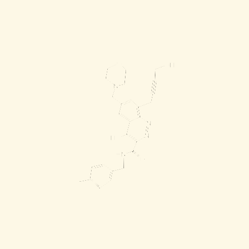 O=C(NCc1ccc(Cl)cc1)c1nnc2c(CC#CCO)cc(CN3CCOCC3)cc2c1O